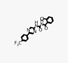 O=C(NC(=O)c1ccccc1Cl)Nc1cnc(-c2ccc(C(F)(F)F)cc2)cn1